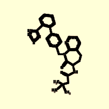 CC(C)(N)CC(=O)N[C@@H]1CCc2cccnc2N(Cc2ccc(-c3ccccc3-c3nnn[nH]3)cc2)C1=O